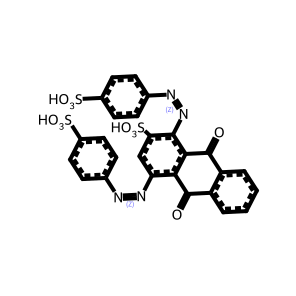 O=C1c2ccccc2C(=O)c2c(/N=N\c3ccc(S(=O)(=O)O)cc3)c(S(=O)(=O)O)cc(/N=N\c3ccc(S(=O)(=O)O)cc3)c21